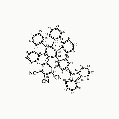 N#Cc1cc(-c2c(-c3ccccc3)c(-c3ccccc3)c(-c3ccccc3)c(-c3ccccc3)c2-c2ccc(-n3c4ccccc4c4ccccc43)cc2)cc(C#N)c1C#N